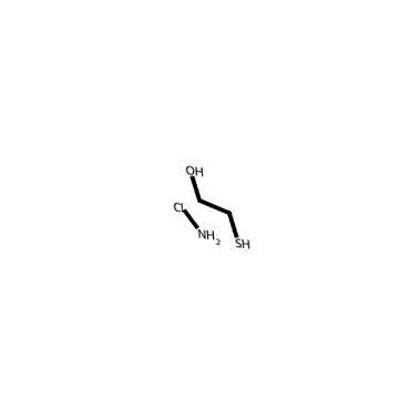 NCl.OCCS